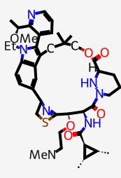 CCn1c(-c2cccnc2[C@H](C)OC)c2c3cc(ccc31)C1CSC(=N1)[C@@H](OCCNC)[C@H](NC(=O)[C@H]1[C@H](C)[C@@H]1C)C(=O)N1CCC[C@H](N1)C(=O)OCC(C)(C)C2